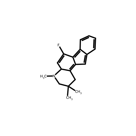 CN1CC(C)(C)CC2=C3C=c4ccccc4=C3C(F)=CC21